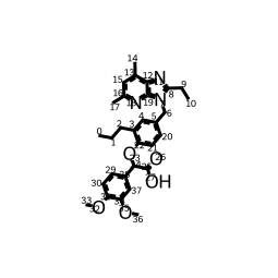 CCCc1cc(Cn2c(CC)nc3c(C)cc(C)nc32)ccc1OC(C(=O)O)c1ccc(OC)c(OC)c1